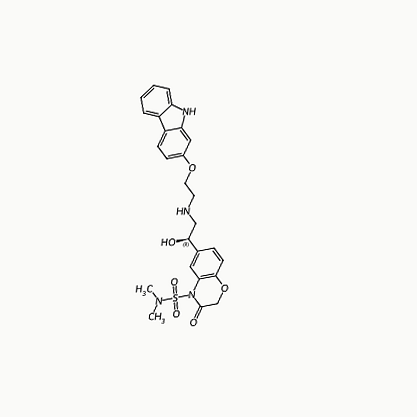 CN(C)S(=O)(=O)N1C(=O)COc2ccc([C@@H](O)CNCCOc3ccc4c(c3)[nH]c3ccccc34)cc21